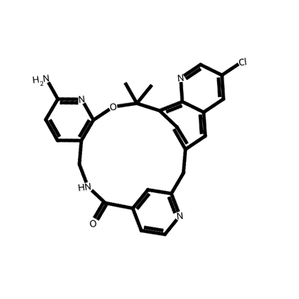 CC1(C)Oc2nc(N)ccc2CNC(=O)c2ccnc(c2)Cc2cc1c1ncc(Cl)cc1c2